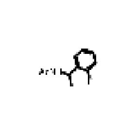 CC(=O)NC(C)c1ccccc1F